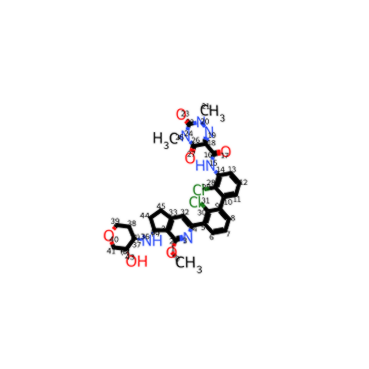 COc1nc(-c2cccc(-c3cccc(NC(=O)c4nn(C)c(=O)n(C)c4=O)c3Cl)c2Cl)cc2c1[C@H](N[C@@H]1CCOC[C@H]1O)CC2